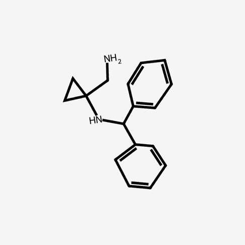 NCC1(NC(c2ccccc2)c2ccccc2)CC1